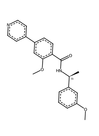 COc1cccc([C@H](C)NC(=O)c2ccc(-c3ccncc3)cc2OC)c1